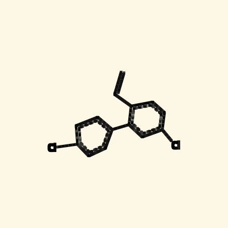 C=Cc1ccc(Cl)cc1-c1ccc(Cl)cc1